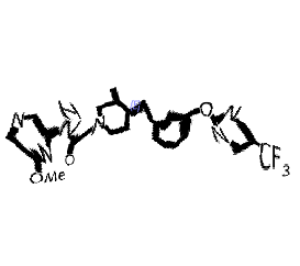 COc1cncc(NC(=O)N2CC/C(=C\c3cccc(Oc4ncc(C(F)(F)F)cn4)c3)C(C)C2)n1